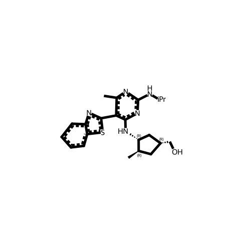 Cc1nc(NC(C)C)nc(N[C@@H]2C[C@H](CO)C[C@H]2C)c1-c1nc2ccccc2s1